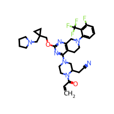 C=CC(=O)N1CCN(c2nc(OCC3(CN4CCCC4)CC3)nc3c2CCN(c2cccc(F)c2C(F)(F)F)C3)CC1CC#N